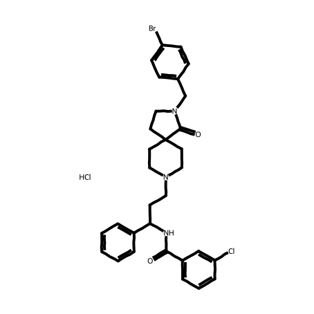 Cl.O=C(NC(CCN1CCC2(CC1)CCN(Cc1ccc(Br)cc1)C2=O)c1ccccc1)c1cccc(Cl)c1